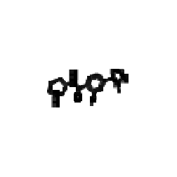 Cn1nccc1-c1ccc(C(=O)NC2CCCNC2)c(F)c1